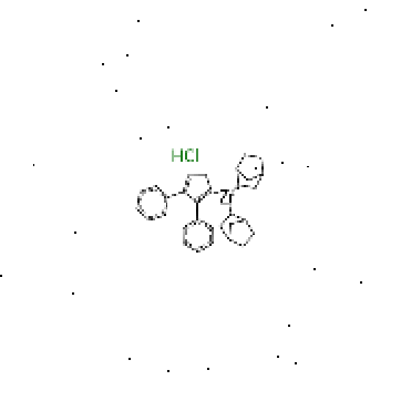 C1=C(c2ccccc2)C(c2ccccc2)=[C]([Zr]([CH]2CC3CCC2C3)[CH]2CC3CCC2C3)C1.Cl